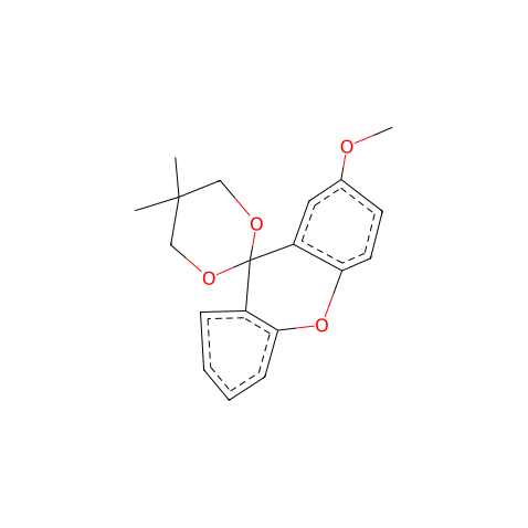 COc1ccc2c(c1)C1(OCC(C)(C)CO1)c1ccccc1O2